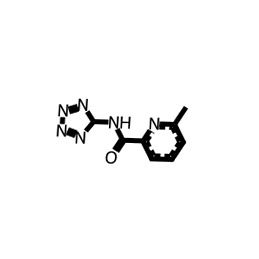 Cc1cccc(C(=O)NC2N=NN=N2)n1